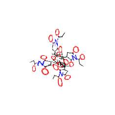 CCC(=O)N1C(=O)CC([SiH]2O[Si](C)(C3CC(=O)N(C(=O)CC)C3=O)O[Si](C)(C3CC(=O)N(C(=O)CC)C3=O)O[Si](C)(C3CC(=O)N(C(=O)CC)C3=O)O2)C1=O